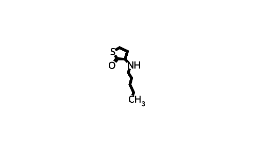 CCCCCNC1CCSC1=O